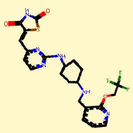 O=C1NC(=O)C(=Cc2ccnc(NC3CCC(NCc4cccnc4OCC(F)(F)F)CC3)n2)S1